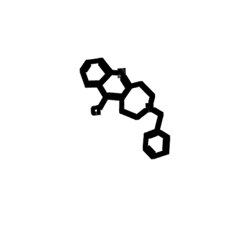 Clc1c2c(nc3ccccc13)CCN(Cc1ccccc1)CC2